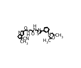 C[C@@H]1CN(c2cccc(-c3csc(NC(=O)CNC(=O)c4cnc5c(c4)[C@@](C)(C#N)CC5)n3)c2)C[C@H](C)O1